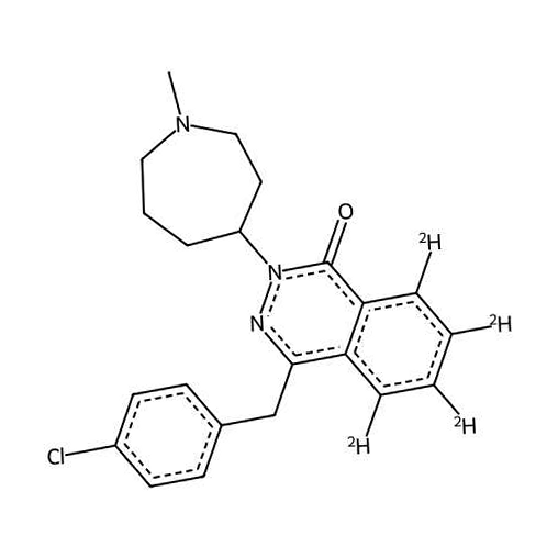 [2H]c1c([2H])c([2H])c2c(=O)n(C3CCCN(C)CC3)nc(Cc3ccc(Cl)cc3)c2c1[2H]